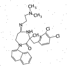 CN(C)CCN=C1CCN(c2cccc3ccccc23)C(=O)C(C)(Cc2ccc(Cl)c(Cl)c2)N1